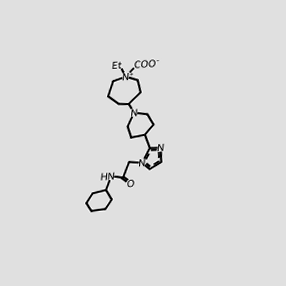 CC[N+]1(C(=O)[O-])CCCC(N2CCC(c3nccn3CC(=O)NC3CCCCC3)CC2)CC1